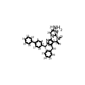 C=C1c2c(nn(Cc3ccc(-c4ccccc4)cc3)c2Cc2ccccc2)N2C[C@@](C)(N)N=C2N1C